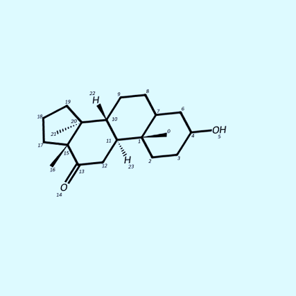 C[C@]12CCC(O)CC1CC[C@@H]1[C@@H]2CC(=O)[C@]2(C)CCC[C@@]12C